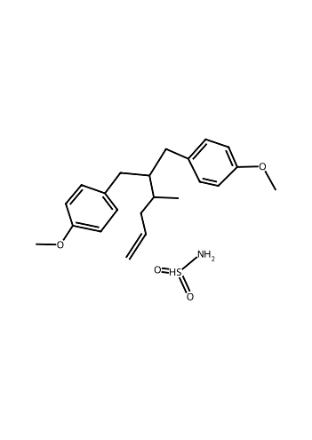 C=CCC(C)C(Cc1ccc(OC)cc1)Cc1ccc(OC)cc1.N[SH](=O)=O